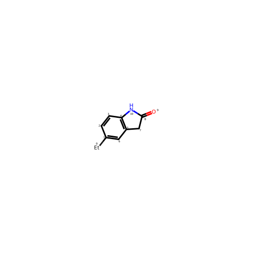 CCc1ccc2c(c1)CC(=O)N2